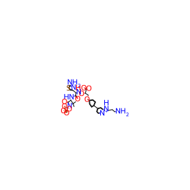 C[n+]1ccc(-c2ccc(OCC(O/N=C(\C(=O)N[C@@H]3C(=O)N(OS(=O)(=O)[O-])C3(C)C)c3csc(N)n3)C(=O)O)cc2)cc1NCCCN